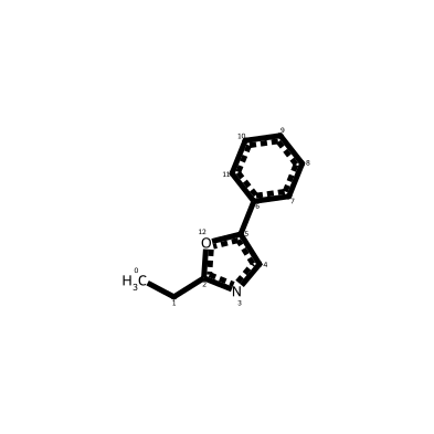 CCc1ncc(-c2ccccc2)o1